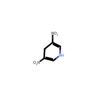 O=[N+]([O-])C1=CNC=C([N+](=O)[O-])[CH]1